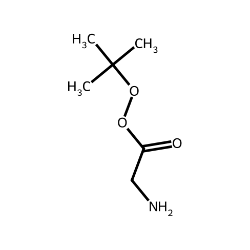 CC(C)(C)OOC(=O)CN